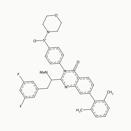 CNC(Cc1cc(F)cc(F)c1)c1nc2cc(-c3c(C)cccc3C)ccc2c(=O)n1-c1ccc([S+]([O-])N2CCOCC2)cc1